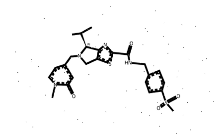 CC(C)[C@H]1c2nc(C(=O)NCc3ccc(S(C)(=O)=O)cc3)sc2CN1Cc1ccn(C)c(=O)c1